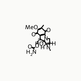 COC1=C(C)C(=O)C2=C(C1=O)[C@H](COC(N)=O)[C@@]1(O)[C@@H]3[C@H](CN21)N3C